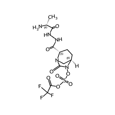 C[C@@H](N)C(=O)NNC(=O)[C@@H]1CC[C@@H]2CN1C(=O)N2OS(=O)(=O)OC(=O)C(F)(F)F